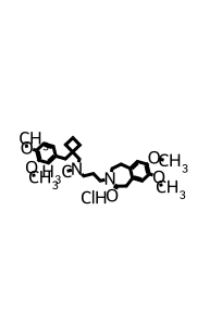 COc1ccc(CC2(CN(C)CCCN3CCc4cc(OC)c(OC)cc4CC3=O)CCC2)cc1OC.Cl